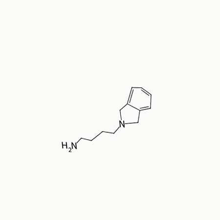 NCCCCN1Cc2ccccc2C1